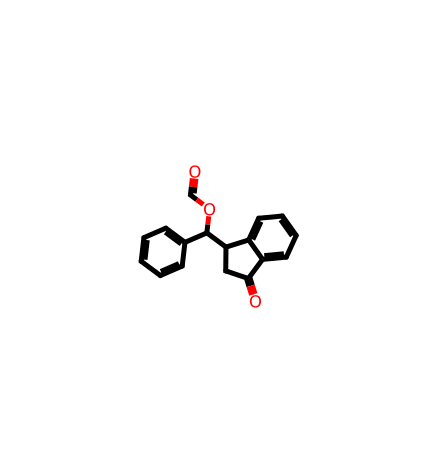 O=COC(c1ccccc1)C1CC(=O)c2ccccc21